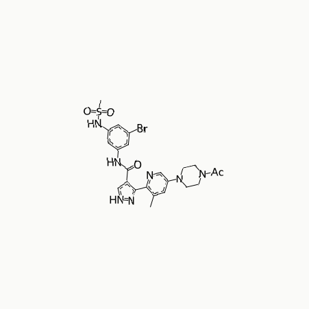 CC(=O)N1CCN(c2cnc(-c3n[nH]cc3C(=O)Nc3cc(Br)cc(NS(C)(=O)=O)c3)c(C)c2)CC1